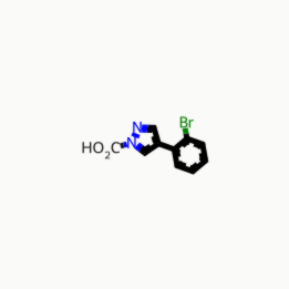 O=C(O)n1cc(-c2ccccc2Br)cn1